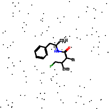 CCC(C(=O)N[C@@H](Cc1ccccc1)C(=O)O)C(C=O)CF